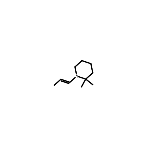 CC=CN1C[CH]CCC1(C)C